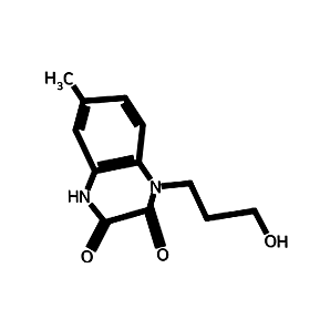 Cc1ccc2c(c1)[nH]c(=O)c(=O)n2CCCO